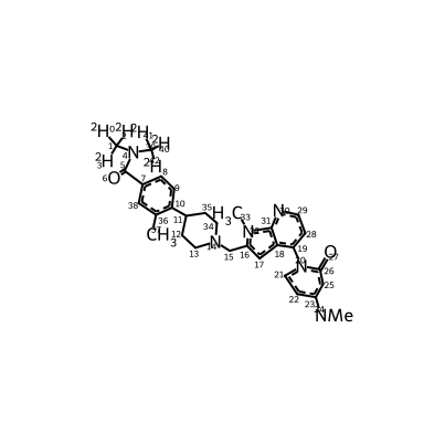 [2H]C([2H])([2H])N(C(=O)c1ccc(C2CCN(Cc3cc4c(-n5ccc(NC)cc5=O)ccnc4n3C)CC2)c(C)c1)C([2H])([2H])[2H]